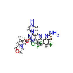 Nc1nc2c(-c3ncc4c(N5CCNCC5)nc(OCC5(CN6CCOCC6)CC5)nc4c3C(F)(F)Cl)ccc(F)c2s1